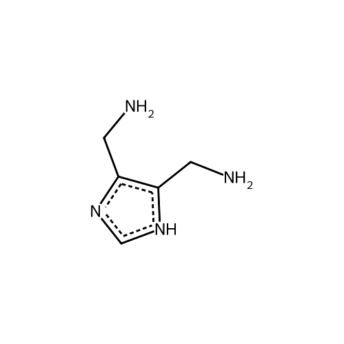 NCc1nc[nH]c1CN